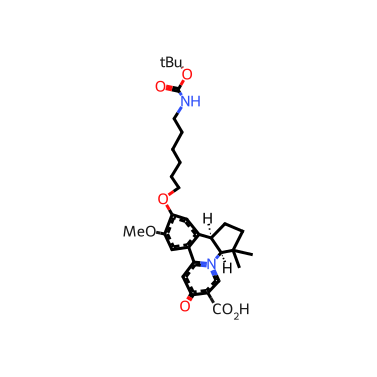 COc1cc2c(cc1OCCCCCCNC(=O)OC(C)(C)C)[C@H]1CCC(C)(C)[C@H]1n1cc(C(=O)O)c(=O)cc1-2